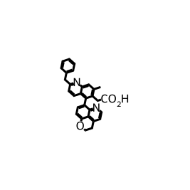 Cc1cc2nc(Cc3ccccc3)ccc2c(-c2ccc3c4c(ccnc24)CCO3)c1CC(=O)O